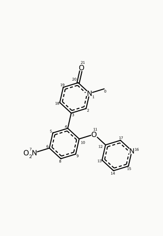 Cn1cc(-c2cc([N+](=O)[O-])ccc2Oc2cccnc2)ccc1=O